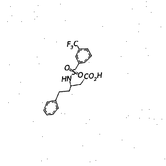 O=C(O)CC(CCc1ccccc1)NS(=O)(=O)c1cccc(C(F)(F)F)c1